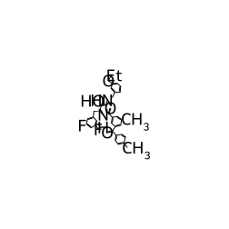 CCOc1cccc(CNC[C@@H](O)[C@H](Cc2cc(F)cc(F)c2)NC(=O)c2cc(C)cc(C(=O)c3ccc(C)cc3)c2)c1